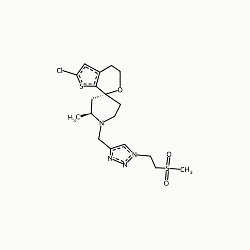 C[C@H]1C[C@@]2(CCN1Cc1cn(CCS(C)(=O)=O)nn1)OCCc1cc(Cl)sc12